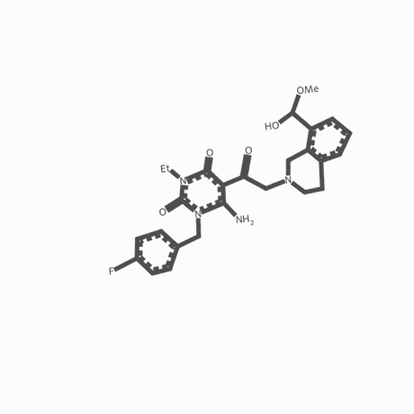 CCn1c(=O)c(C(=O)CN2CCc3cccc(C(O)OC)c3C2)c(N)n(Cc2ccc(F)cc2)c1=O